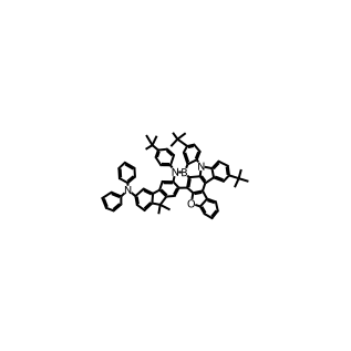 CC(C)(C)c1ccc(N2B3c4cc(C(C)(C)C)ccc4-n4c5ccc(C(C)(C)C)cc5c5c6c(oc7ccccc76)c(c3c54)-c3cc4c(cc32)-c2cc(N(c3ccccc3)c3ccccc3)ccc2C4(C)C)cc1